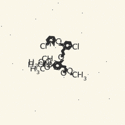 CCOC(=O)Cc1ccc(B2OC(C)(C)C(C)(C)O2)cc1COCCc1cc(Cl)ccc1COc1cccc(Cl)n1